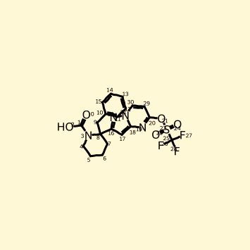 O=C(O)N1CCCCC1(Cc1ccccc1)c1cc2nc(OS(=O)(=O)C(F)(F)F)ccn2n1